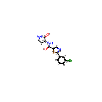 O=C(N[C@H]1CCNC1=O)c1cnc(-c2cccc(Br)c2)s1